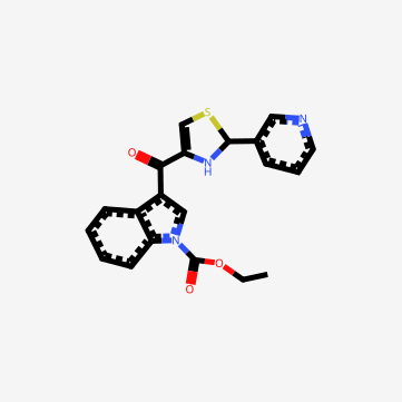 CCOC(=O)n1cc(C(=O)C2=CSC(c3cccnc3)N2)c2ccccc21